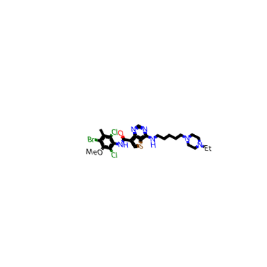 CCN1CCN(CCCCCNc2ncnc3c(C(=O)Nc4c(Cl)c(C)c(Br)c(OC)c4Cl)csc23)CC1